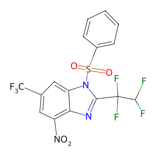 O=[N+]([O-])c1cc(C(F)(F)F)cc2c1nc(C(F)(F)C(F)F)n2S(=O)(=O)c1ccccc1